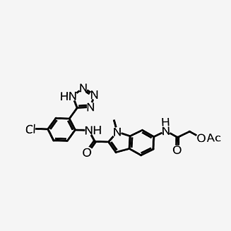 CC(=O)OCC(=O)Nc1ccc2cc(C(=O)Nc3ccc(Cl)cc3-c3nnn[nH]3)n(C)c2c1